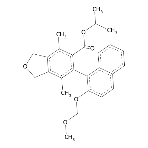 COCOc1ccc2ccccc2c1-c1c(C)c2c(c(C)c1C(=O)OC(C)C)COC2